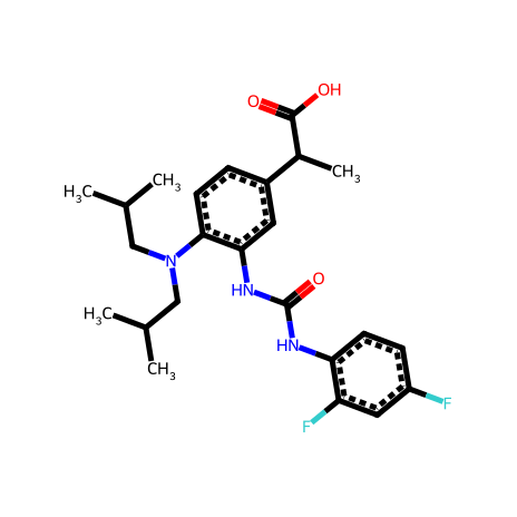 CC(C)CN(CC(C)C)c1ccc(C(C)C(=O)O)cc1NC(=O)Nc1ccc(F)cc1F